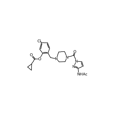 CC(=O)Nc1ccn(C(=O)N2CCN(Cc3ccc(Cl)cc3OC(=O)C3CC3)CC2)n1